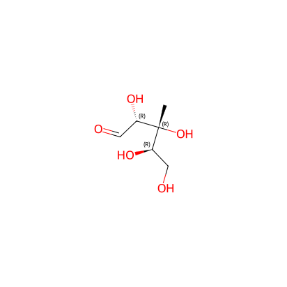 C[C@@](O)([C@H](O)CO)[C@@H](O)C=O